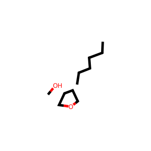 C1CCOC1.CCCCCC.CO